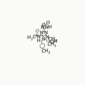 CC1CCC(Cn2c(CC(C)(C)O)nc3nc(-c4noc(=O)[nH]4)nc(N[C@H](C)C4CCC4)c32)CC1